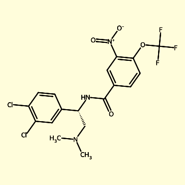 CN(C)C[C@@H](NC(=O)c1ccc(OC(F)(F)F)c([N+](=O)[O-])c1)c1ccc(Cl)c(Cl)c1